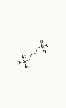 CC[Si](Cl)(CC)CCCC[Si](Cl)(CC)CC